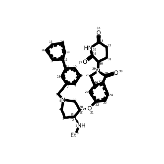 CCN[C@H]1CCN(Cc2cccc(-c3ccccc3)c2)C[C@@H]1Oc1ccc2c(c1)CN(C1CCC(=O)NC1=O)C2=O